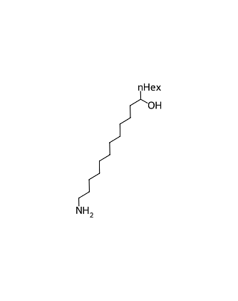 CCCCCCC(O)CCCCCCCCCCCN